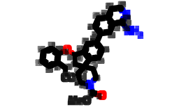 COC(=O)N1CCC2(CC1)C[C@@H](Oc1ccccc1CC(=O)O)c1cc(-c3ccc4ccnc(N)c4c3)ccc12